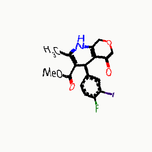 COC(=O)C1=C(C)NC2=C(C(=O)COC2)C1c1ccc(F)c(I)c1